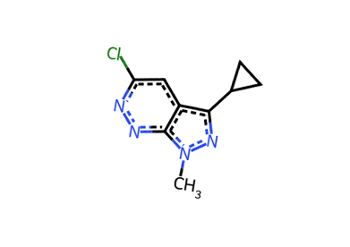 Cn1nc(C2CC2)c2cc(Cl)nnc21